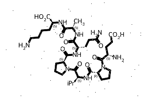 CC(C)[C@H](NC(=O)[C@H]1CCCN1C(=O)[C@@H](N)CCC(=O)O)C(=O)N1CCC[C@H]1C(=O)N[C@@H](CCC(N)=O)C(=O)N[C@@H](C)C(=O)N[C@@H](CCCCN)C(=O)O